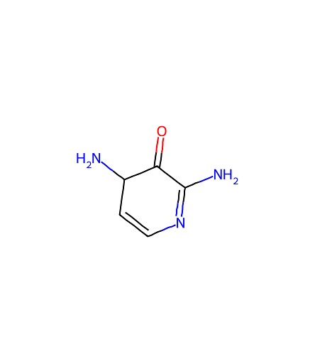 NC1=NC=CC(N)C1=O